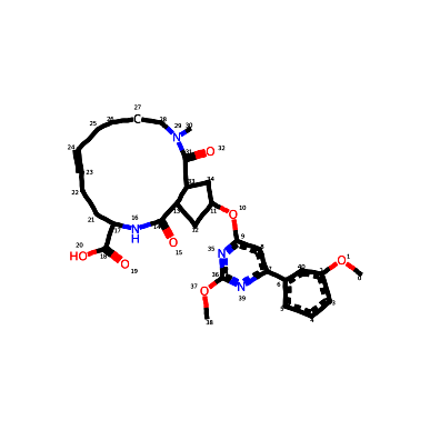 COc1cccc(-c2cc(OC3CC4C(=O)NC(C(=O)O)CCC=CCCCCN(C)C(=O)C4C3)nc(OC)n2)c1